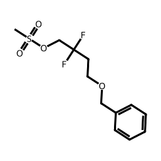 CS(=O)(=O)OCC(F)(F)CCOCc1ccccc1